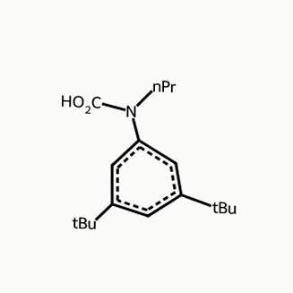 CCCN(C(=O)O)c1cc(C(C)(C)C)cc(C(C)(C)C)c1